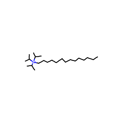 CCCCCCCCCCCCCC[N+](C(C)C)(C(C)C)C(C)C